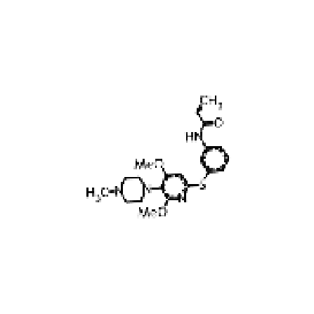 C=CC(=O)Nc1cccc(Sc2cc(OC)c(N3CCN(C)CC3)c(OC)n2)c1